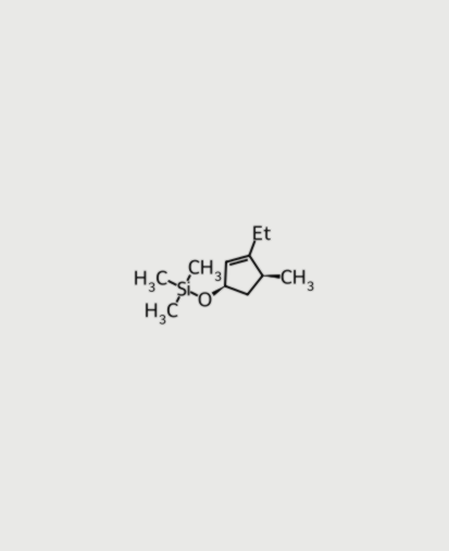 CCC1=C[C@H](O[Si](C)(C)C)C[C@@H]1C